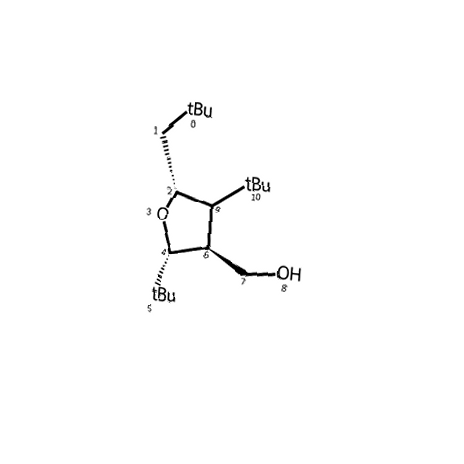 CC(C)(C)C[C@H]1O[C@@H](C(C)(C)C)[C@H](CO)C1C(C)(C)C